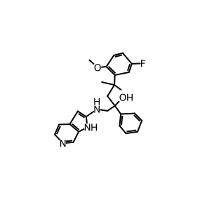 COc1ccc(F)cc1C(C)(C)CC(O)(CNc1cc2ccncc2[nH]1)c1ccccc1